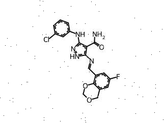 NC(=O)c1c(Nc2cccc(Cl)c2)n[nH]c1/N=C/c1cc(F)cc2c1OCOC2